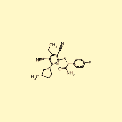 CCc1c(C#N)c(S[C@@H](C(N)=O)c2ccc(F)cc2)nc(N2CC[C@H](C)C2)c1C#N